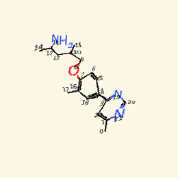 Cc1cc(-c2ccc(OCC(C)CC(C)N)c(C)c2)ncn1